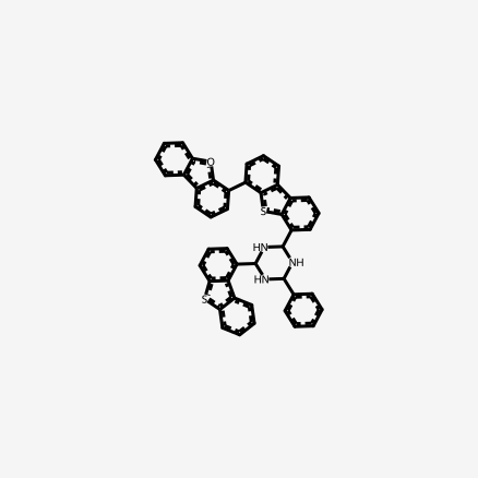 c1ccc(C2NC(c3cccc4c3sc3c(-c5cccc6c5oc5ccccc56)cccc34)NC(c3cccc4sc5ccccc5c34)N2)cc1